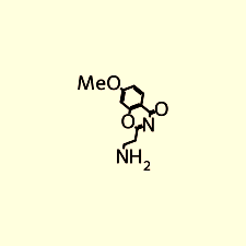 COc1ccc2c(=O)nc(CCN)oc2c1